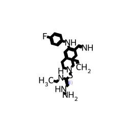 C=CC12CC(C=N)=C(Nc3ccc(F)cc3)C=C1CCN(S/C(=C/NN)NCC)C2